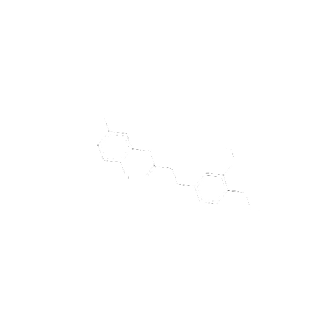 COc1ccc(CCC(=O)Nc2cc(Cl)ccc2O)cc1OC